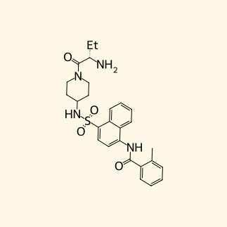 CC[C@H](N)C(=O)N1CCC(NS(=O)(=O)c2ccc(NC(=O)c3ccccc3C)c3ccccc23)CC1